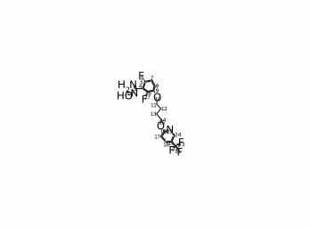 N/C(=N\O)c1c(F)ccc(OCCCCOc2ccc(C(F)(F)F)cn2)c1F